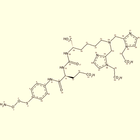 NOOSc1ccc(NC(=O)[C@H](CCC(=O)O)NC(=O)N[C@@H](CCCCN(Cc2nccn2CC(=O)O)Cc2nccn2CC(=O)O)C(=O)O)cc1